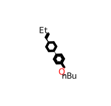 CCC=C[C@H]1CC[C@H](c2ccc(COCCCC)cc2)CC1